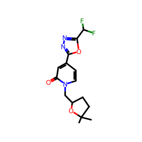 CC1(C)CCC(Cn2ccc(-c3nnc(C(F)F)o3)cc2=O)O1